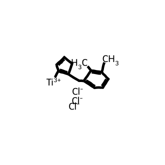 Cc1cccc(CC2=[C]([Ti+3])C=CC2)c1C.[Cl-].[Cl-].[Cl-]